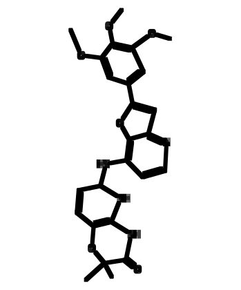 COc1cc(-c2cc3nccc(NC4C=CC5=C(NC(=O)C(C)(C)O5)N4)c3o2)cc(OC)c1OC